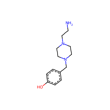 NCCN1CCN(Cc2ccc(O)cc2)CC1